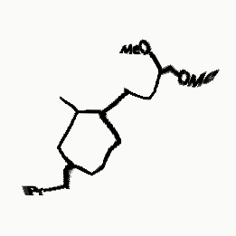 COC(CCC1CCC(CC(C)C)CC1C)OC